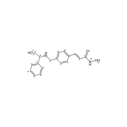 O=C(/C=C/c1ccc(CNC(C(=O)O)c2ccccc2)cc1)NO